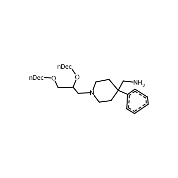 CCCCCCCCCCOCC(CN1CCC(CN)(c2ccccc2)CC1)OCCCCCCCCCC